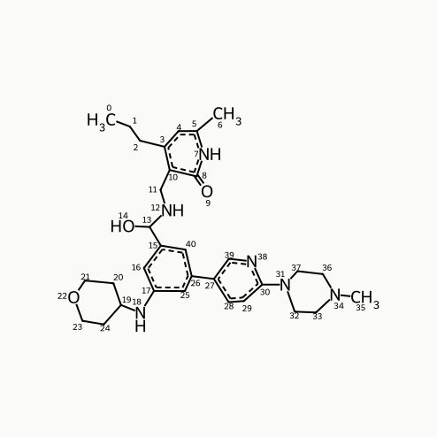 CCCc1cc(C)[nH]c(=O)c1CNC(O)c1cc(NC2CCOCC2)cc(-c2ccc(N3CCN(C)CC3)nc2)c1